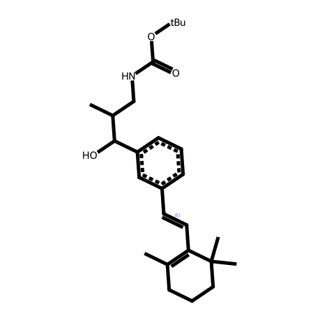 CC1=C(/C=C/c2cccc(C(O)C(C)CNC(=O)OC(C)(C)C)c2)C(C)(C)CCC1